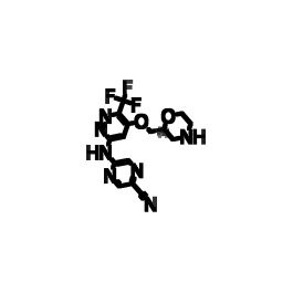 N#Cc1cnc(Nc2cc(OC[C@@H]3CNCCO3)c(C(F)(F)F)nn2)cn1